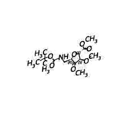 COC(=O)[C@H]1O[C@H](CNC(=O)OC(C)(C)C)[C@@H](OC)[C@@H]1OC